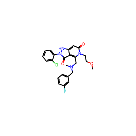 COCCn1c(CN(C)Cc2cccc(F)c2)c2c(=O)n(-c3ccccc3Cl)[nH]c2cc1=O